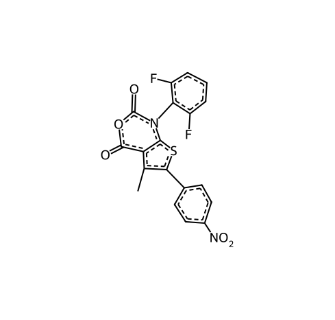 Cc1c(-c2ccc([N+](=O)[O-])cc2)sc2c1c(=O)oc(=O)n2-c1c(F)cccc1F